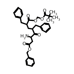 CC(C)(C)C(=O)OCOC(=O)C(Cc1ccccc1)CC(Cc1ccccc1)C(=O)C(N)CC(=O)OCc1ccccc1